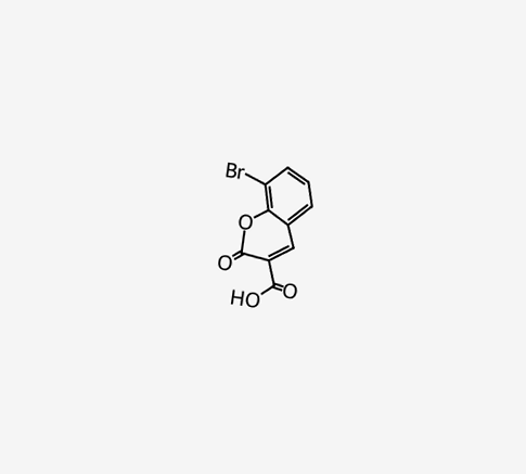 O=C(O)c1cc2cccc(Br)c2oc1=O